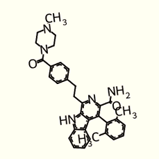 Cc1cccc(C)c1-c1c(C(N)=O)nc(CCc2ccc(C(=O)N3CCN(C)CC3)cc2)c2[nH]c3ccccc3c12